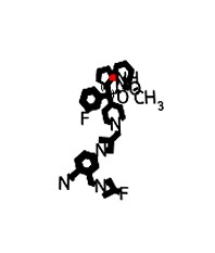 COC(=O)N[C@H]1CCC[C@@H]1[C@](CN1CCCCC1)(c1cccc(F)c1)C1CCN(CC2CN(c3ccc(C#N)c(CN4CC(F)C4)c3)C2)CC1